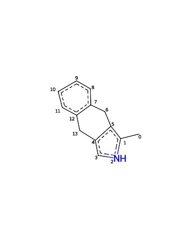 Cc1[nH]cc2c1Cc1ccccc1C2